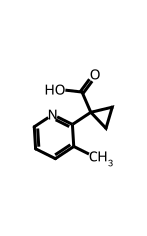 Cc1cccnc1C1(C(=O)O)CC1